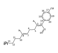 C=C/C(=C(/C)CC/C=C(\C)CCCC(C)C)c1ccc(C)cc1